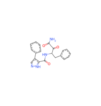 NC(=O)C(=O)C(Cc1ccccc1)NC(=O)c1[nH]ncc1-c1ccccc1